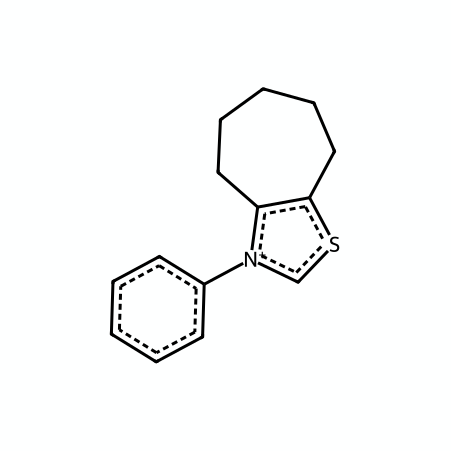 c1ccc(-[n+]2csc3c2CCCCC3)cc1